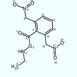 CCNOC(=O)c1c(C[N+](=O)[O-])cccc1C[N+](=O)[O-]